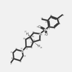 Cc1ccc(S(=O)(=O)N2C[C@H]3CC(N4CCC(C)CC4)C[C@H]3C2)c(C)c1